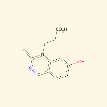 O=C(O)CCn1c(=O)ncc2ccc(O)cc21